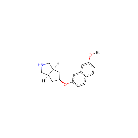 CCOc1ccc2ccc(O[C@H]3C[C@H]4CNC[C@H]4C3)cc2c1